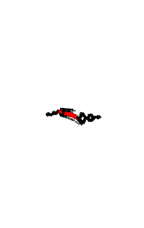 CCCCCCC12CCC(C3CCC(C4CCC(CC)CC4)CC3)(CC1)CC2